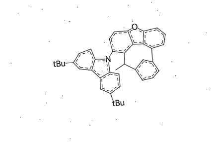 CC1c2cccc(c2)-c2cccc3oc4ccc(-n5c6ccc(C(C)(C)C)cc6c6cc(C(C)(C)C)ccc65)c1c4c23